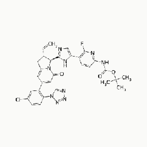 C=C[C@H]1Cc2cc(-c3cc(Cl)ccc3-n3cnnn3)cc(=O)n2[C@@H]1c1ncc(-c2ccc(NC(=O)OC(C)(C)C)nc2F)[nH]1